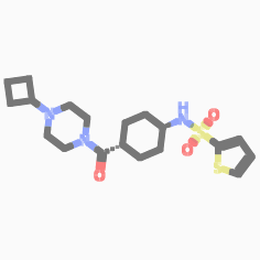 O=C([C@H]1CC[C@H](NS(=O)(=O)c2cccs2)CC1)N1CCN(C2CCC2)CC1